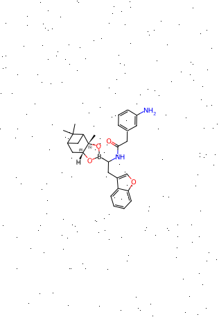 CC1(C)C2CC1[C@]1(C)OB(C(Cc3coc4ccccc34)NC(=O)Cc3cccc(N)c3)O[C@@H]1C2